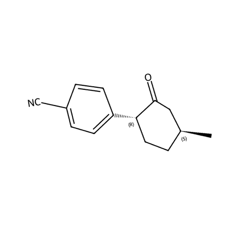 C[C@H]1CC[C@H](c2ccc(C#N)cc2)C(=O)C1